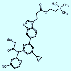 CC(C)(C)OC(=O)N(c1cc(C#N)ccn1)c1cc(C2CC2)cc(-c2ccc3c(c2)ncn3CCC(=O)OCC[Si](C)(C)C)n1